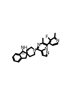 Cc1nccc(-c2c(C)nc(N3CCC4(CC3)Cc3ccccc3[C@H]4N)c3ccnn23)c1F